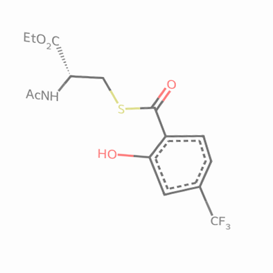 CCOC(=O)[C@H](CSC(=O)c1ccc(C(F)(F)F)cc1O)NC(C)=O